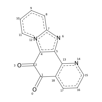 O=C1C(=O)c2c(nc3ccccn23)-c2ncccc21